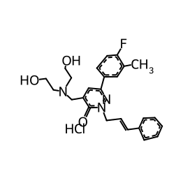 Cc1cc(-c2cc(CN(CCO)CCO)c(=O)n(CC=Cc3ccccc3)n2)ccc1F.Cl